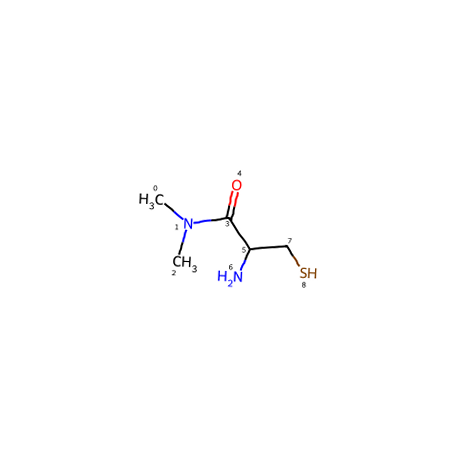 CN(C)C(=O)C(N)CS